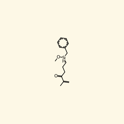 C=C(C)C(=O)CCC[SiH](Cc1ccccc1)OC